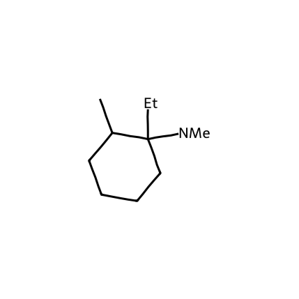 CCC1(NC)CCCCC1C